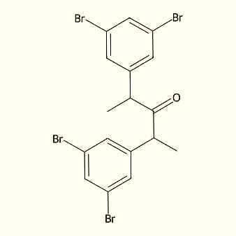 CC(C(=O)C(C)c1cc(Br)cc(Br)c1)c1cc(Br)cc(Br)c1